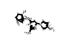 Nc1nc(N[C@@H]2C[C@H]3CC[C@@H]2C3)cc(N2CC[C@@H](N)C2)n1